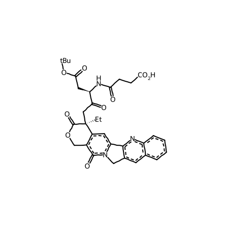 CC[C@@]1(CC(=O)[C@@H](CC(=O)OC(C)(C)C)NC(=O)CCC(=O)O)C(=O)OCc2c1cc1n(c2=O)Cc2cc3ccccc3nc2-1